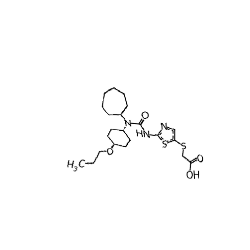 CCCO[C@H]1CC[C@H](N(C(=O)Nc2ncc(SCC(=O)O)s2)C2CCCCCC2)CC1